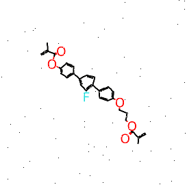 C=C(C)C(=O)OCCCOc1ccc(-c2ccc(-c3ccc(OC(=O)C(=C)C)cc3)cc2F)cc1